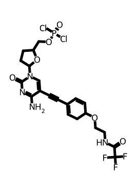 Nc1nc(=O)n(C2CCC(COP(=O)(Cl)Cl)O2)cc1C#CC1=CCC(OCCNC(=O)C(F)(F)F)C=C1